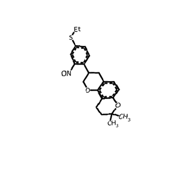 CCSc1ccc(C2COc3c(ccc4c3CCC(C)(C)O4)C2)c(N=O)c1